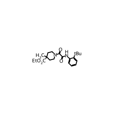 CCOC(=O)C1(C)CCN(C(=O)C(=O)Nc2ccccc2C(C)(C)C)CC1